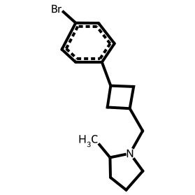 CC1CCCN1CC1CC(c2ccc(Br)cc2)C1